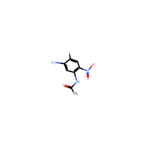 CC(=O)Nc1cc(N)c(I)cc1[N+](=O)[O-]